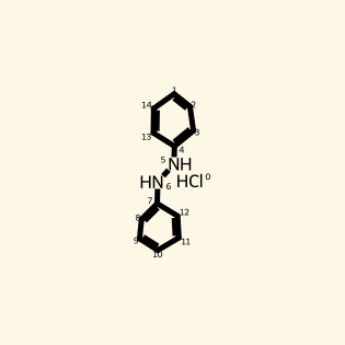 Cl.c1ccc(NNc2ccccc2)cc1